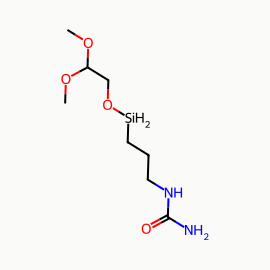 COC(CO[SiH2]CCCNC(N)=O)OC